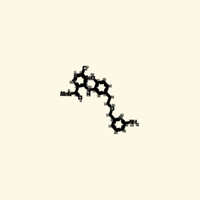 CNC(=O)c1nnc(Cl)cc1Nc1cc(CCOCc2cccc(N)n2)ccc1OC